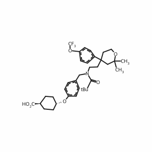 CC1(C)CC(CCN(Cc2ccc(O[C@H]3CC[C@H](C(=O)O)CC3)cc2)C(=O)C(C)(C)C)(c2ccc(OC(F)(F)F)cc2)CCO1